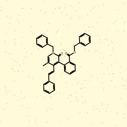 Cc1cn(Cc2ccccc2)c(=O)c(-c2ccccc2C(=O)OCc2ccccc2)c1C=Cc1ccccc1